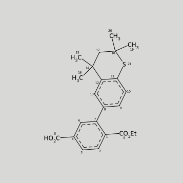 CCOC(=O)c1ccc(C(=O)O)cc1-c1ccc2c(c1)C(C)(C)CC(C)(C)S2